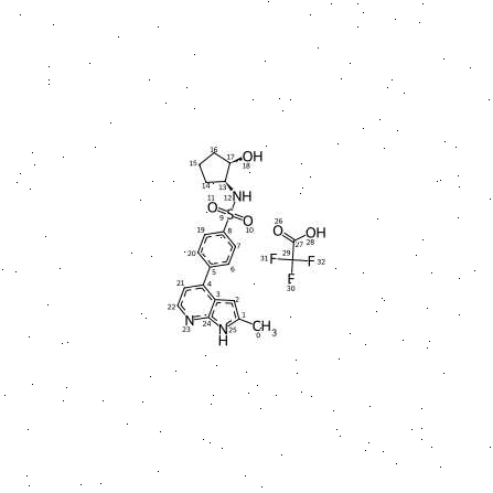 Cc1cc2c(-c3ccc(S(=O)(=O)N[C@H]4CCC[C@H]4O)cc3)ccnc2[nH]1.O=C(O)C(F)(F)F